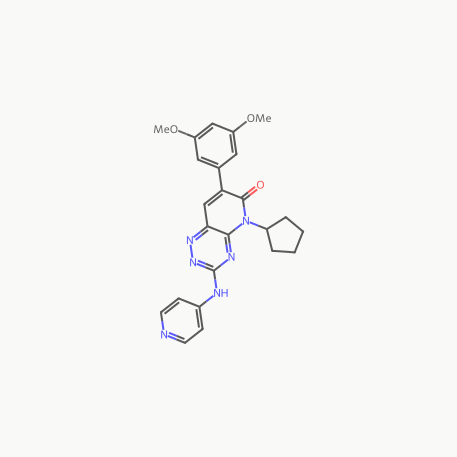 COc1cc(OC)cc(-c2cc3nnc(Nc4ccncc4)nc3n(C3CCCC3)c2=O)c1